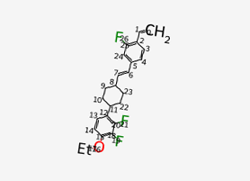 C=Cc1ccc(/C=C/C2CCC(c3ccc(OCC)c(F)c3F)CC2)cc1F